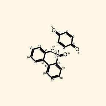 O=C1C=CC(=O)C=C1.O=[PH]1Oc2ccccc2-c2ccccc21